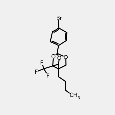 CCCCC12COC(c3ccc(Br)cc3)(OC1)OC2C(F)(F)F